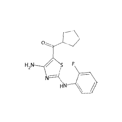 Nc1nc(Nc2ccccc2F)sc1C(=O)C1CCCC1